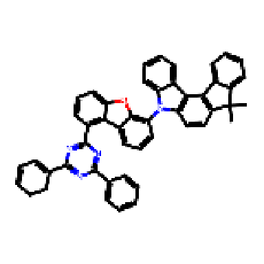 CC1(C)c2ccccc2-c2c1ccc1c2c2ccccc2n1-c1cccc2c1oc1cccc(-c3nc(C4=CC=CCC4)nc(-c4ccccc4)n3)c12